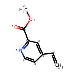 C=Cc1ccnc(C(=O)OC)c1